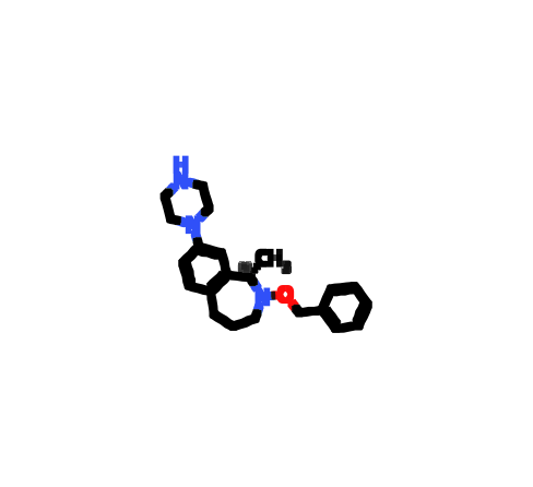 C[C@H]1c2cc(N3CCNCC3)ccc2CCCN1OCc1ccccc1